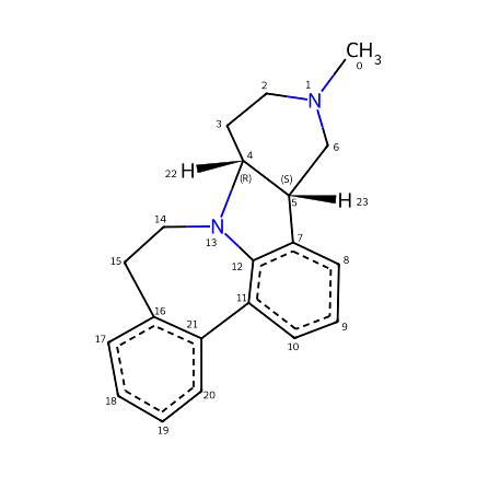 CN1CC[C@@H]2[C@H](C1)c1cccc3c1N2CCc1ccccc1-3